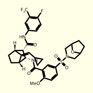 COc1ccc(S(=O)(=O)N2CC3CCC(C2)O3)cc1C(=O)N[C@H]1[C@@H](C(=O)Nc2ccc(F)c(C(F)(F)F)c2)[C@H]2CC[C@@H]1/C2=C\C1CC1